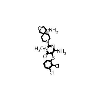 Cn1c(N2CCC3(CC2)COC[C@H]3N)nc(N)c(Sc2cccc(Cl)c2Cl)c1=O